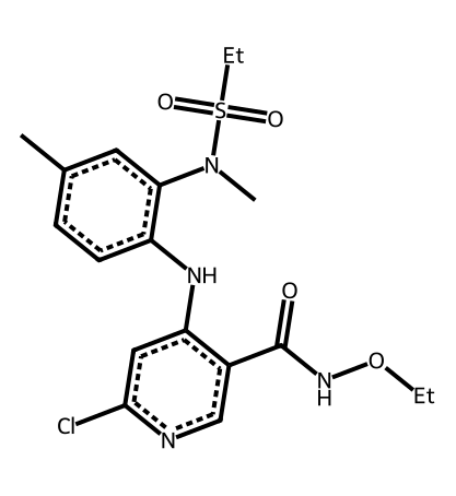 CCONC(=O)c1cnc(Cl)cc1Nc1ccc(C)cc1N(C)S(=O)(=O)CC